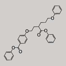 O=C(Oc1ccccc1)c1ccc(OCCC(CCCOc2ccccc2)C(=O)Oc2ccccc2)cc1